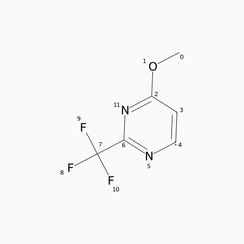 COc1c[c]nc(C(F)(F)F)n1